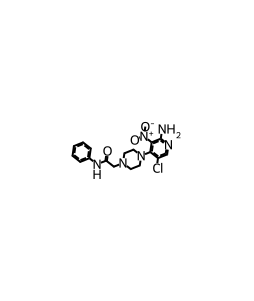 Nc1ncc(Cl)c(N2CCN(CC(=O)Nc3ccccc3)CC2)c1[N+](=O)[O-]